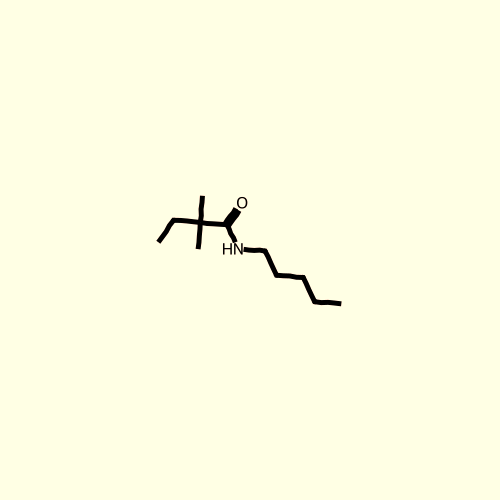 CCCCCNC(=O)C(C)(C)CC